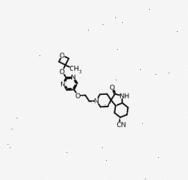 CC1(Oc2ncc(OCCN3CCC4(CC3)C(=O)NC3CCC(C#N)CC34)cn2)COC1